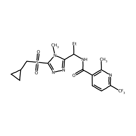 CCC(NC(=O)c1ccc(C(F)(F)F)nc1C)c1nnc(S(=O)(=O)CC2CC2)n1C